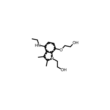 CCNc1ccc(OCCO)c2c1c(C)c(C)n2CCO